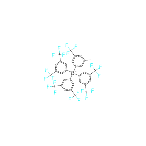 Cc1cc([B-](c2cc(C(F)(F)F)cc(C(F)(F)F)c2)(c2cc(C(F)(F)F)cc(C(F)(F)F)c2)c2cc(C(F)(F)F)cc(C(F)(F)F)c2)cc(C(F)(F)F)c1